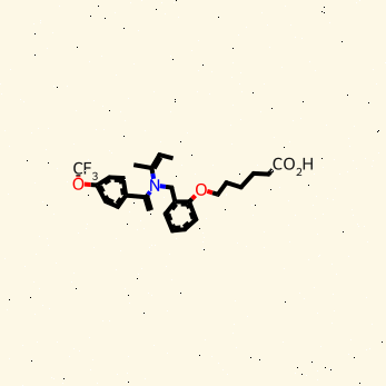 C=C(c1ccc(OC(F)(F)F)cc1)N(Cc1ccccc1OCCCCCC(=O)O)/C(C)=C\C